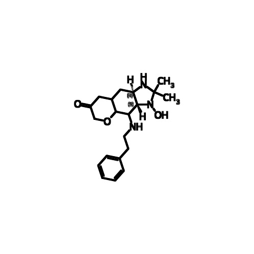 CC1(C)N[C@@H]2CC3CC(=O)COC3C(NCCc3ccccc3)[C@H]2N1O